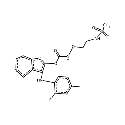 CS(=O)(=O)NCCONC(=O)Oc1oc2ccncc2c1Nc1ccc(I)cc1F